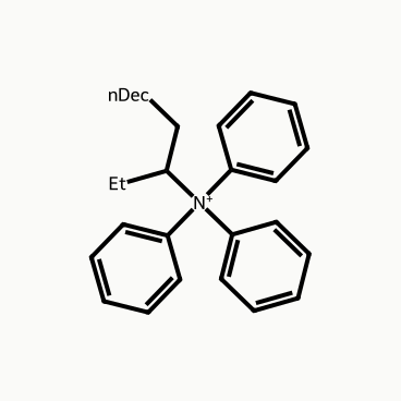 CCCCCCCCCCCC(CC)[N+](c1ccccc1)(c1ccccc1)c1ccccc1